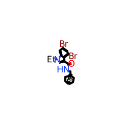 CCn1cc(C(=O)NCC23CCC(CC2)CC3)c2c(Br)cc(Br)cc21